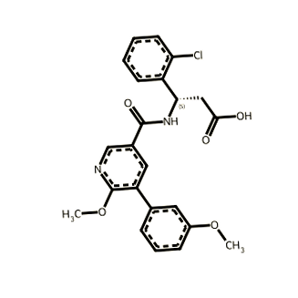 COc1cccc(-c2cc(C(=O)N[C@@H](CC(=O)O)c3ccccc3Cl)cnc2OC)c1